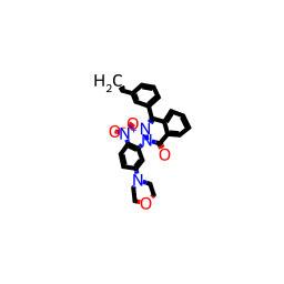 C=Cc1cccc(-c2nn(-c3cc(N4CCOCC4)ccc3[N+](=O)[O-])c(=O)c3ccccc23)c1